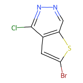 Clc1nncc2sc(Br)cc12